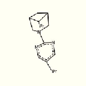 CC(C)c1cnc(N2CC3CC(C2)C3C(C)C)nc1